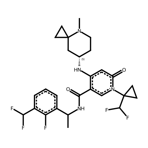 CC(NC(=O)c1cn(C2(C(F)F)CC2)c(=O)cc1N[C@H]1CCN(C)C2(CC2)C1)c1cccc(C(F)F)c1F